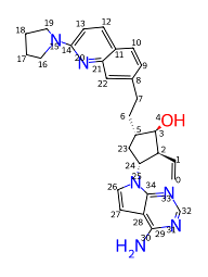 C=C[C@@H]1[C@H](O)[C@@H](CCc2ccc3ccc(N4CCCC4)nc3c2)C[C@H]1n1ccc2c(N)ncnc21